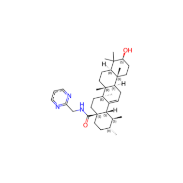 C[C@H]1[C@H](C)CC[C@]2(C(=O)NCc3ncccn3)CC[C@]3(C)C(=CC[C@@H]4[C@@]5(C)CC[C@H](O)C(C)(C)[C@@H]5CC[C@]43C)[C@H]12